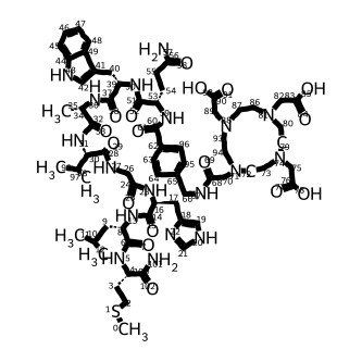 CSCC[C@H](NC(=O)[C@H](CC(C)C)NC(=O)[C@H](Cc1c[nH]cn1)NC(=O)CNC(=O)[C@@H](NC(=O)[C@H](C)NC(=O)[C@H](Cc1c[nH]c2ccccc12)NC(=O)[C@H](CCC(N)=O)NC(=O)c1ccc(CNC(=O)CN2CCN(CC(=O)O)CCN(CC(=O)O)CCN(CC(=O)O)CC2)cc1)C(C)C)C(N)=O